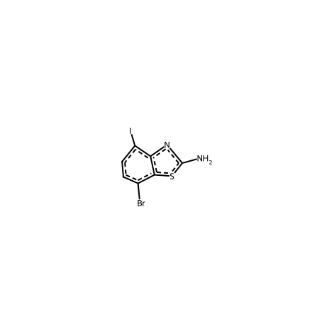 Nc1nc2c(I)ccc(Br)c2s1